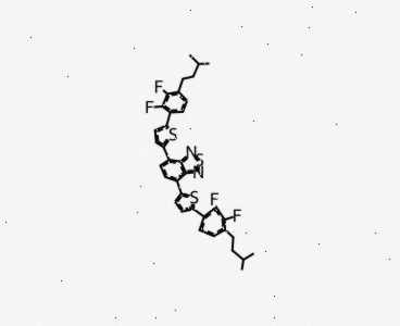 CC(C)CCc1ccc(-c2ccc(-c3ccc(-c4ccc(-c5ccc(CCC(C)C)c(F)c5F)s4)c4nsnc34)s2)c(F)c1F